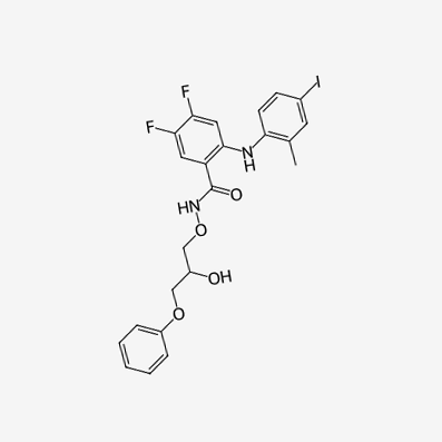 Cc1cc(I)ccc1Nc1cc(F)c(F)cc1C(=O)NOCC(O)COc1ccccc1